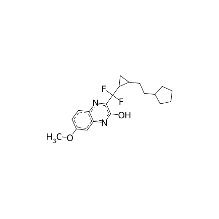 COc1ccc2nc(C(F)(F)C3CC3CCC3CCCC3)c(O)nc2c1